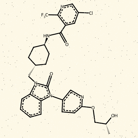 C[C@@H](O)COc1ccc(-n2c(=O)n(C[C@H]3CC[C@H](NC(=O)c4cc(Cl)cnc4C(F)(F)F)CC3)c3ccccc32)cn1